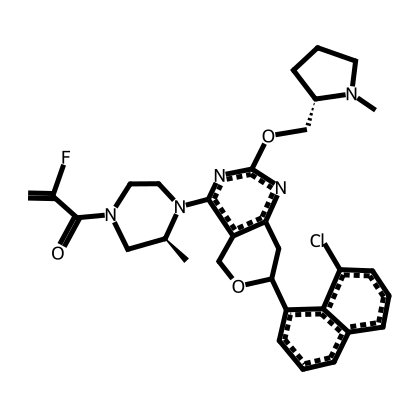 C=C(F)C(=O)N1CCN(c2nc(OC[C@@H]3CCCN3C)nc3c2COC(c2cccc4cccc(Cl)c24)C3)[C@@H](C)C1